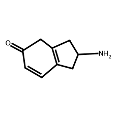 NC1CC2=C(CC(=O)C=C2)C1